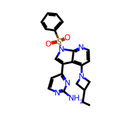 CCC1CN(c2ccnc3c2c(-c2ccnc(N)n2)cn3S(=O)(=O)c2ccccc2)C1